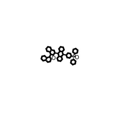 O=P(c1ccccc1)(c1ccccc1)c1ccc(-c2c3ccccc3c(-c3cc4ccccc4c4c3oc3ccc5ccccc5c34)c3ccccc23)cc1